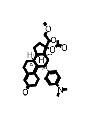 COCC(=O)[C@]1(OC(C)=O)CC[C@H]2[C@@H]3CCC4=CC(=O)CCC4=C3[C@@H](c3ccc(N(C)C)cc3)C[C@@]21C